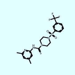 Cc1cc(C)nc(NC(=S)N2CCN(S(=O)(=O)c3cccc(C(F)(F)F)c3)CC2)c1